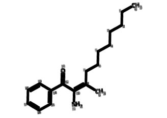 CCCCCCCCC(C)=C(N)C(=O)c1ccccc1